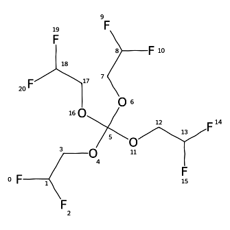 FC(F)COC(OCC(F)F)(OCC(F)F)OCC(F)F